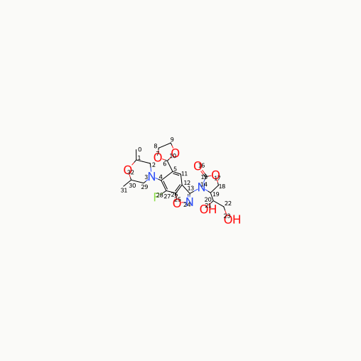 CC1CN(c2c(C3OCCO3)cc3c(N4C(=O)OCC4C(O)CO)noc3c2F)CC(C)O1